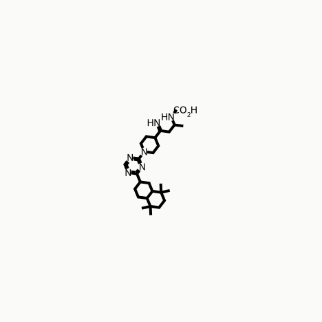 CC(CC(=N)C1CCN(c2ncnc(C3CCC4C(C3)C(C)(C)CCC4(C)C)n2)CC1)NC(=O)O